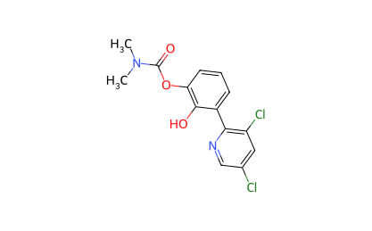 CN(C)C(=O)Oc1cccc(-c2ncc(Cl)cc2Cl)c1O